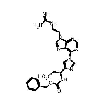 N=C(N)NCCn1cnc2c(-n3cnc(C(CC(=O)O)NC(=O)OCc4ccccc4)c3)ncnc21